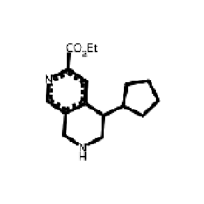 CCOC(=O)c1cc2c(cn1)CNCC2C1CCCC1